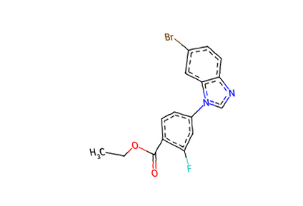 CCOC(=O)c1ccc(-n2cnc3ccc(Br)cc32)cc1F